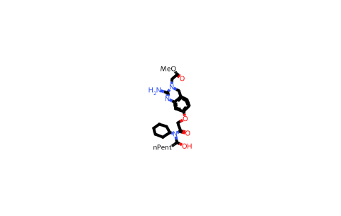 CCCCCC(O)N(C(=O)COc1ccc2c(c1)N=C(N)N(CC(=O)OC)C2)C1CCCCC1